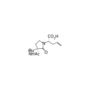 C=CC[C@@H](C(=O)O)N1CC[C@](NC(C)=O)(C(C)CC)C1=O